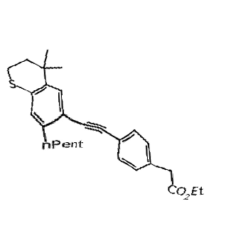 CCCCCc1cc2c(cc1C#Cc1ccc(CC(=O)OCC)cc1)C(C)(C)CCS2